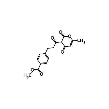 COC(=O)c1ccc(CCC(=O)C2C(=O)C=C(C)OC2=O)cc1